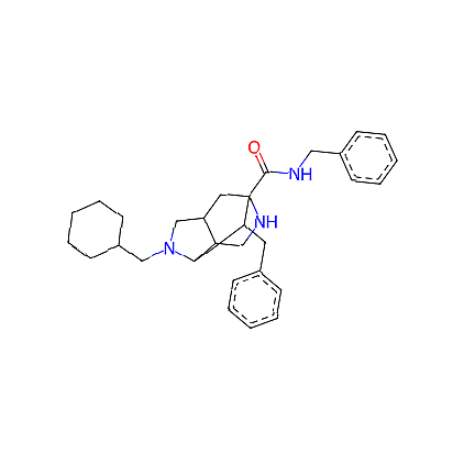 O=C(NCc1ccccc1)C12CC3CN(CC4CCCCC4)C(C3CN1)C2Cc1ccccc1